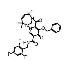 C[C@H]1C=CC(C)(C)N2CN1C(=O)c1c(OCc3ccccc3)c(=O)c(C(=O)NCc3c(F)cc(F)cc3F)cn12